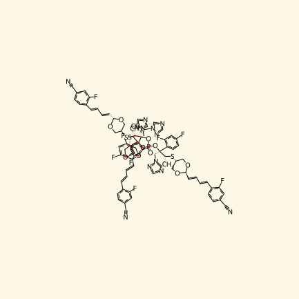 C[C@@H](S[C@H]1CO[C@H](/C=C/C=C/c2ccc(C#N)cc2F)OC1)[C@@](Cn1cncn1)(OP(=O)(O[C@@](Cn1cncn1)(c1ccc(F)cc1F)[C@@H](C)S[C@H]1CO[C@H](/C=C/C=C/c2ccc(C#N)cc2F)OC1)O[C@@](Cn1cncn1)(c1ccc(F)cc1F)[C@@H](C)S[C@H]1CO[C@H](/C=C/C=C/c2ccc(C#N)cc2F)OC1)c1ccc(F)cc1F